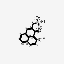 CC[N+](CC)(CC)CC1=Cc2cccc3cccc(c23)C1=O.Cl